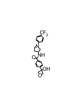 O=C(NC1CCN(c2ccc(C(F)(F)F)cc2)C1)c1ccc(C2(O)COC2)cc1